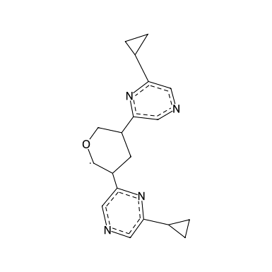 [CH]1OCC(c2cncc(C3CC3)n2)CC1c1cncc(C2CC2)n1